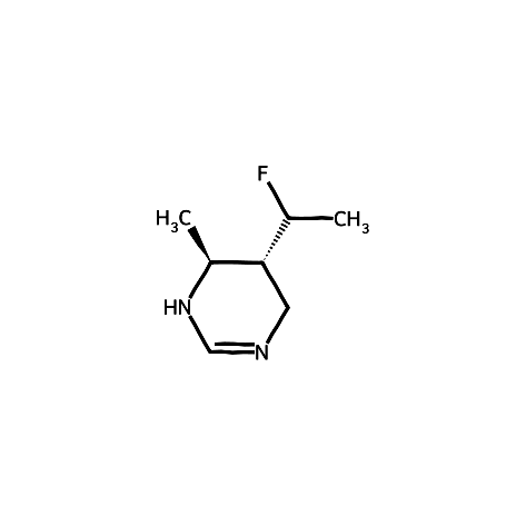 CC(F)[C@@H]1CN=CN[C@H]1C